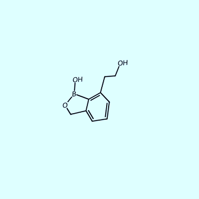 OCCc1cccc2c1B(O)OC2